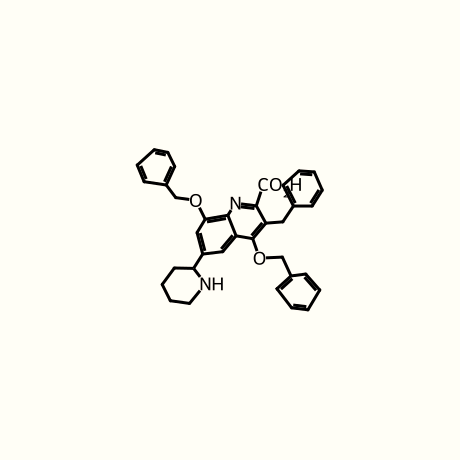 O=C(O)c1nc2c(OCc3ccccc3)cc(C3CCCCN3)cc2c(OCc2ccccc2)c1Cc1ccccc1